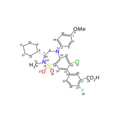 COc1ccc(N2C[C@@H](C3CCCCC3)N(C)S(=O)(=O)c3cc(-c4ccc(F)c(C(=O)O)c4)c(Cl)cc32)cc1